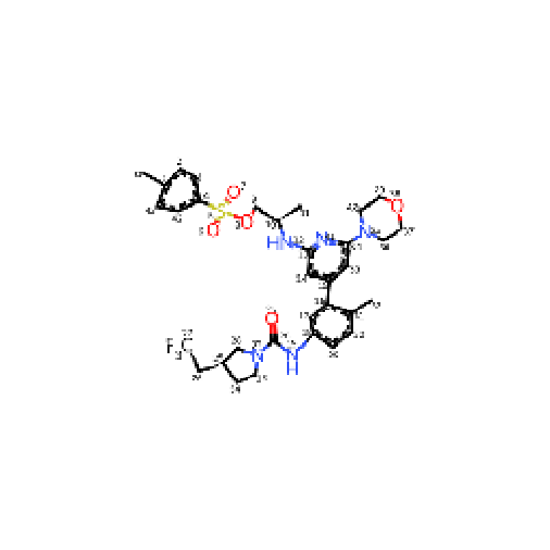 Cc1ccc(S(=O)(=O)OC[C@@H](C)Nc2cc(-c3cc(NC(=O)N4CC[C@@H](CC(F)(F)F)C4)ccc3C)cc(N3CCOCC3)n2)cc1